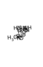 Cc1cnc(NC(=O)c2cccc(Oc3ccnc4[nH]nc(NC5CCCNC5)c34)c2)s1